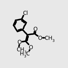 COC(=O)C(=C(OC)OC)c1cccc(Cl)c1